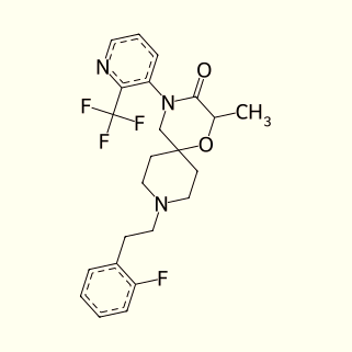 CC1OC2(CCN(CCc3ccccc3F)CC2)CN(c2cccnc2C(F)(F)F)C1=O